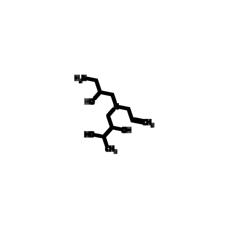 C=CCN(CC(O)CN)CC(O)C(C)O